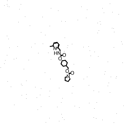 Cc1cccc(CNC(=O)OC2CCC(COC(=O)N3CCCC3)CC2)n1